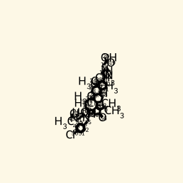 CC(C)C1=C2[C@H]3CC[C@@H]4[C@@]5(C)CC=C(c6cn(CC(=O)O)nn6)C(C)(C)[C@@H]5CC[C@@]4(C)[C@]3(C)CCC[C@](O)(CN(CCN(C)C)Cc3ccc(Cl)cc3)[C@H]2CC1=O